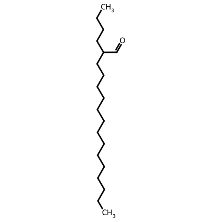 CCCCCCCCCCCCCCC(C=O)CCCC